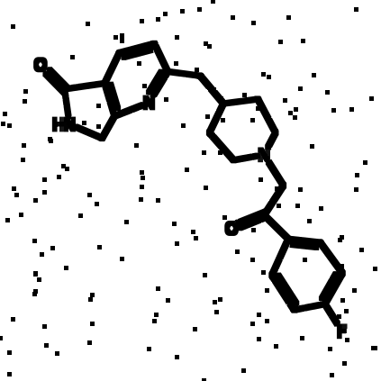 O=C(CN1CCC(Cc2ccc3c(n2)CNC3=O)CC1)c1ccc(F)cc1